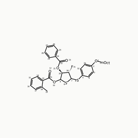 CCCCCCCCOc1ccc(SC2SC(OC(=O)c3ccccc3C)[C@@H](OC(=O)c3ccccc3)[C@@H]2F)cc1